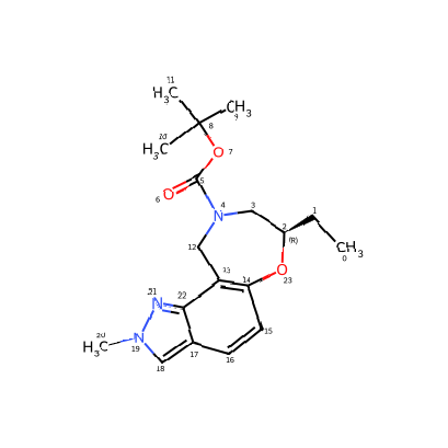 CC[C@@H]1CN(C(=O)OC(C)(C)C)Cc2c(ccc3cn(C)nc23)O1